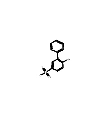 Nc1ccc(S(=O)(=O)O)cc1-c1ccccc1